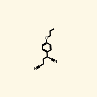 CCCOc1ccc(C(C#N)CCC#N)cc1